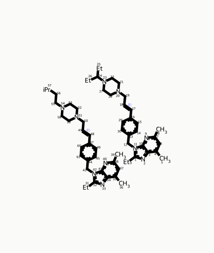 CCc1nc2c(C)cc(C)nc2n1Cc1ccc(/C=C/CN2CCN(C(CC)CC)CC2)cc1.CCc1nc2c(C)cc(C)nc2n1Cc1ccc(/C=C/CN2CCN(CCC(C)C)CC2)cc1